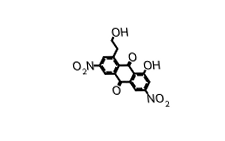 O=C1c2cc([N+](=O)[O-])cc(O)c2C(=O)c2c(CCO)cc([N+](=O)[O-])cc21